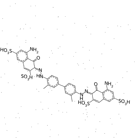 Cc1cc(-c2ccc(NN=C3C(=O)c4c(N)cc(S(=O)(=O)O)cc4C=C3S(=O)(=O)O)c(C)c2)ccc1NN=C1C(=O)c2c(N)cc(S(=O)(=O)O)cc2C=C1S(=O)(=O)O